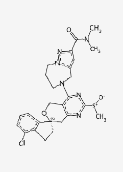 CN(C)C(=O)c1cc2n(n1)CCCN(c1nc([S+](C)[O-])nc3c1CO[C@@]1(CCc4c(Cl)cccc41)C3)C2